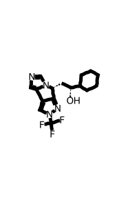 O[C@H](C[C@@H]1c2nn(C(F)(F)F)cc2-c2cncn21)C1CCCCC1